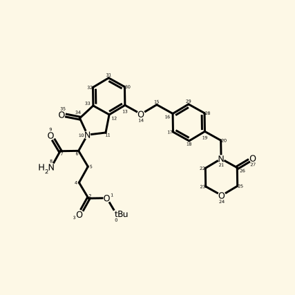 CC(C)(C)OC(=O)CCC(C(N)=O)N1Cc2c(OCc3ccc(CN4CCOCC4=O)cc3)cccc2C1=O